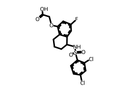 O=C(O)COc1cc(F)cc2c1CCCC2NS(=O)(=O)c1ccc(Cl)cc1Cl